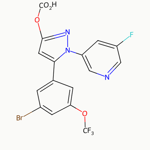 O=C(O)Oc1cc(-c2cc(Br)cc(OC(F)(F)F)c2)n(-c2cncc(F)c2)n1